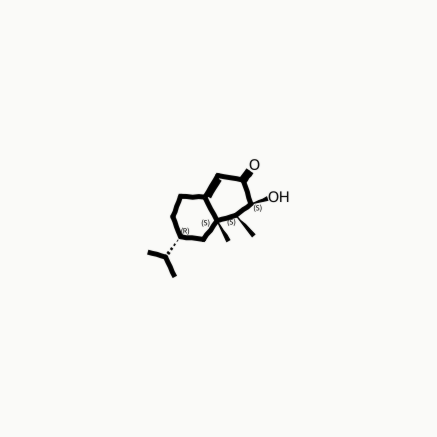 CC(C)[C@@H]1CCC2=CC(=O)[C@@H](O)[C@@H](C)[C@]2(C)C1